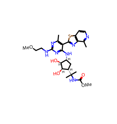 COCCNc1nc(C)c(-c2nc3c(C)nccc3s2)c(N[C@@H]2C[C@H](C(C)(C)NC(=O)OC)[C@@H](O)[C@H]2O)n1